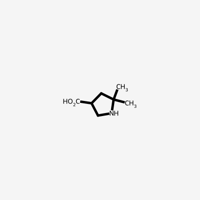 CC1(C)CC(C(=O)O)CN1